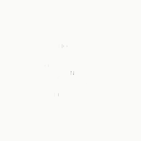 CCC(=O)N1CCCC1O